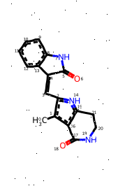 Cc1c(/C=C2\C(=O)Nc3ccccc32)[nH]c2c1C(=O)NCC2